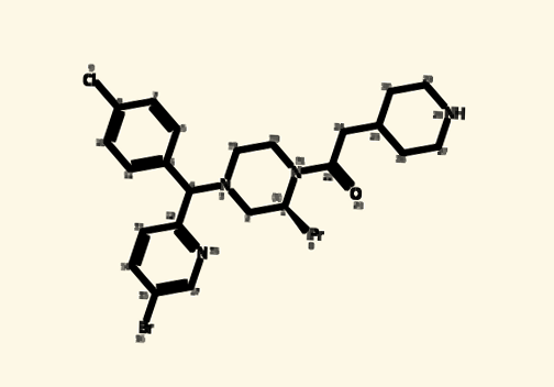 CC(C)[C@H]1CN(C(c2ccc(Cl)cc2)c2ccc(Br)cn2)CCN1C(=O)CC1CCNCC1